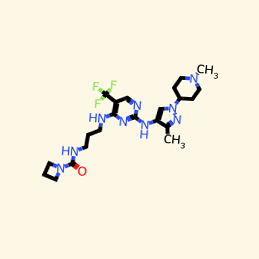 Cc1nn(C2CCN(C)CC2)cc1Nc1ncc(C(F)(F)F)c(NCCCNC(=O)N2CCC2)n1